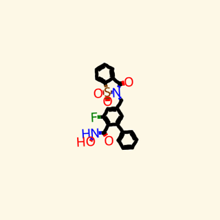 O=C(NO)c1c(F)cc(CN2C(=O)c3ccccc3S2(=O)=O)cc1-c1ccccc1